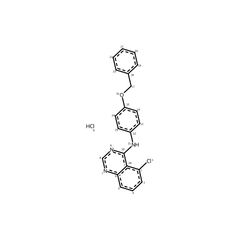 Cl.Clc1cccc2ncnc(Nc3ccc(OCc4ccccc4)cc3)c12